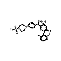 CCS(=O)(=O)N1CCN(c2ccc(-c3n[nH]c4cc(=O)n(-c5c(C)cccc5F)nc34)cc2)CC1